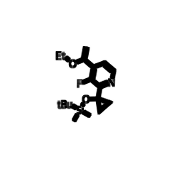 C=C(OCC)c1ccnc(C2(O[Si](C)(C)C(C)(C)C)CC2)c1F